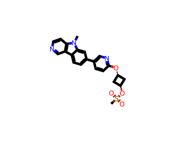 Cn1c2ccncc2c2ccc(-c3ccc(O[C@H]4C[C@H](OS(C)(=O)=O)C4)nc3)cc21